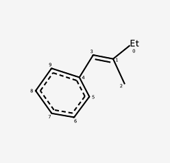 CC/C(C)=C/c1ccccc1